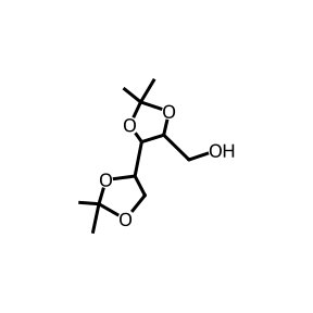 CC1(C)OCC(C2OC(C)(C)OC2CO)O1